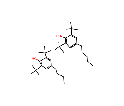 CCCCCc1cc(C(C)(C)C)c(O)c(C(C)(C)C)c1.CCCCc1cc(C(C)(C)C)c(O)c(C(C)(C)C)c1